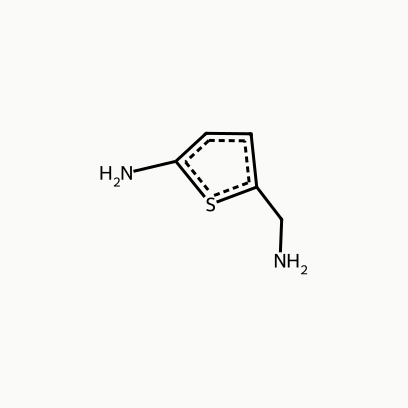 NCc1ccc(N)s1